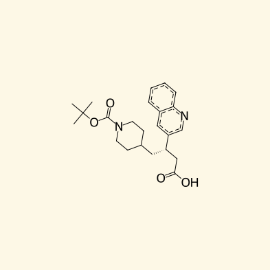 CC(C)(C)OC(=O)N1CCC(C[C@@H](CC(=O)O)c2cnc3ccccc3c2)CC1